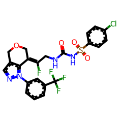 O=C(NCC(F)=C1COCc2cnn(-c3cccc(C(F)(F)F)c3)c21)NS(=O)(=O)c1ccc(Cl)cc1